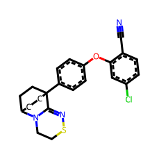 N#Cc1ccc(Cl)cc1Oc1ccc(C23CCC(CC2)N2CCSN=C23)cc1